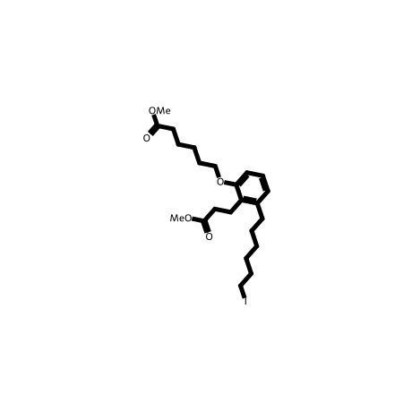 COC(=O)CCCCCOc1cccc(CCCCCCI)c1CCC(=O)OC